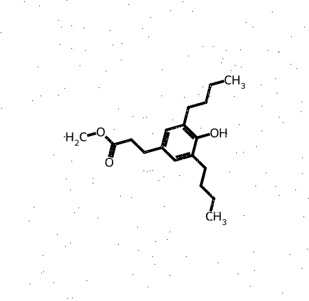 [CH2]OC(=O)CCc1cc(CCCC)c(O)c(CCCC)c1